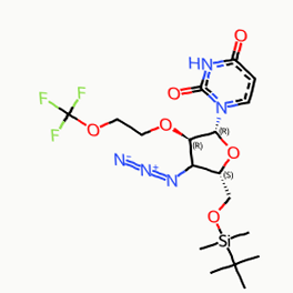 CC(C)(C)[Si](C)(C)OC[C@H]1O[C@@H](n2ccc(=O)[nH]c2=O)[C@H](OCCOC(F)(F)F)C1N=[N+]=[N-]